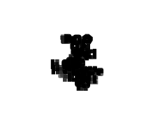 CCOP(=O)(OCC)C(CO)(COC)OC[C@H]1O[C@@H](n2ncc3c(N(C(=O)OC(C)(C)C)C4CCCC4)nc(Cl)nc32)[C@@H]2OC(C)(C)O[C@@H]21